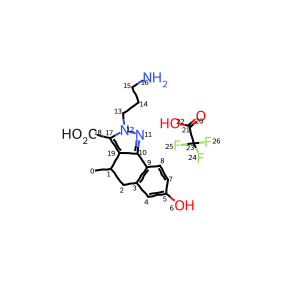 CC1Cc2cc(O)ccc2-c2nn(CCCN)c(C(=O)O)c21.O=C(O)C(F)(F)F